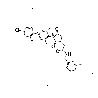 Cc1cc(-c2ncc(Cl)cc2F)cc(C)c1[C@H]1C(=O)CC(CC(=O)NCc2cccc(F)c2)C1=O